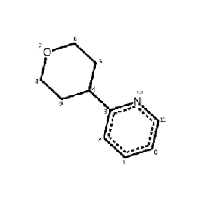 c1ccc(C2CCOCC2)nc1